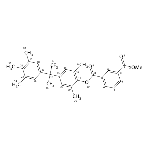 COC(=O)c1cccc(C(=O)Oc2c(C)cc(C(c3cc(C)c(C)c(C)c3)(C(F)(F)F)C(F)(F)F)cc2C)c1